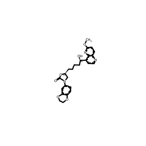 COc1ccc2nccc([C@H](O)CCCC[C@H]3CN(c4ccc5c(c4)OCCO5)C(=O)O3)c2n1